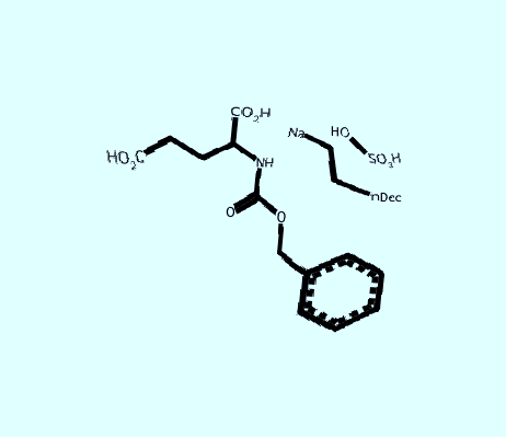 CCCCCCCCCCC[CH2][Na].O=C(O)CCC(NC(=O)OCc1ccccc1)C(=O)O.O=S(=O)(O)O